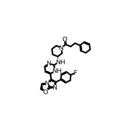 O=C(CCC1=CCCC=C1)N1CCC[C@@H](NC2N=CC=C(c3c(C4=CCC(F)C=C4)nc4occn34)N2)C1